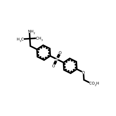 CC(C)(N)Cc1ccc(S(=O)(=O)c2ccc(OCC(=O)O)cc2)cc1